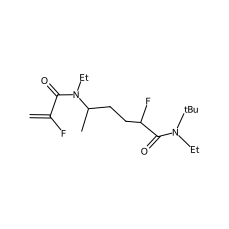 C=C(F)C(=O)N(CC)C(C)CCC(F)C(=O)N(CC)C(C)(C)C